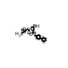 Cc1cc(CC(=O)N2C[C@H](O)C[C@H]2C(=O)OCc2ccc(-c3ccccc3)cc2)on1